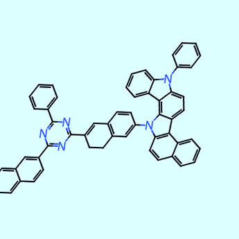 C1=C(c2nc(-c3ccccc3)nc(-c3ccc4ccccc4c3)n2)CCc2cc(-n3c4ccc5ccccc5c4c4ccc5c(c6ccccc6n5-c5ccccc5)c43)ccc21